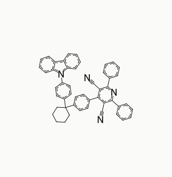 N#Cc1c(-c2ccccc2)nc(-c2ccccc2)c(C#N)c1-c1ccc(C2(c3ccc(-n4c5ccccc5c5ccccc54)cc3)CCCCC2)cc1